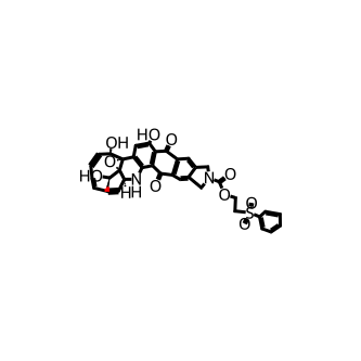 C[C@@H](O)[C@@]12O[C@]13c1cc(O)c4c(c1N[C@H]2C#C/C=C\C#C[C@H]3O)C(=O)c1cc2c(cc1C4=O)CN(C(=O)OCCS(=O)(=O)c1ccccc1)C2